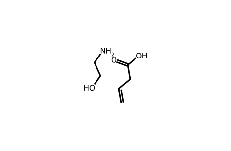 C=CCC(=O)O.NCCO